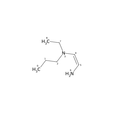 CCCN(/C=C\N)CC